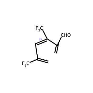 C=C(C=O)/C(=C\C(=C)C(F)(F)F)C(F)(F)F